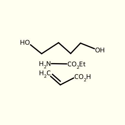 C=CC(=O)O.CCOC(N)=O.OCCCCO